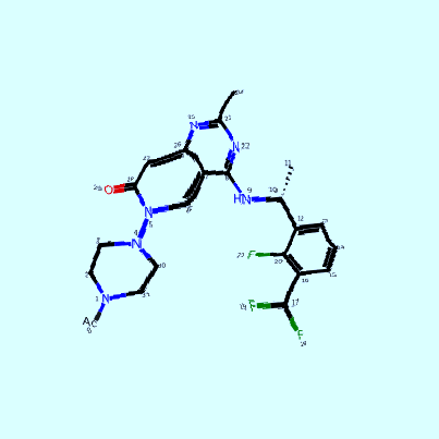 CC(=O)N1CCN(n2cc3c(N[C@H](C)c4cccc(C(F)F)c4F)nc(C)nc3cc2=O)CC1